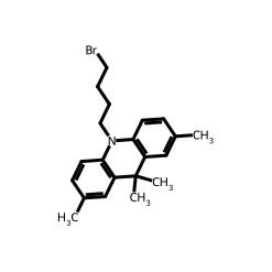 Cc1ccc2c(c1)C(C)(C)c1cc(C)ccc1N2CCCCBr